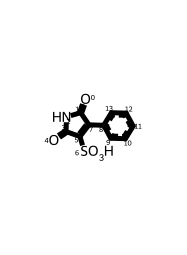 O=C1NC(=O)C(S(=O)(=O)O)=C1c1ccccc1